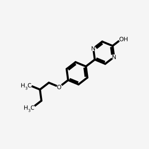 CCC(C)COc1ccc(-c2cnc(O)cn2)cc1